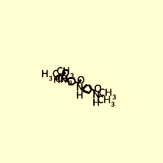 CC(C)NC(=O)c1ccc(NC(=O)C2CCC(NC(=O)C(C)(C)C)CC2)cc1